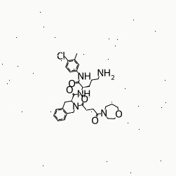 Cc1cc(NC(=O)[C@@H](CCCN)NC(=O)[C@@H]2Cc3ccccc3CN2C(=O)CCC(=O)N2CCCOCC2)ccc1Cl